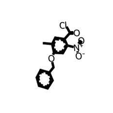 Cc1cc(C(=O)Cl)c([N+](=O)[O-])cc1OCc1ccccc1